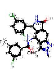 Cn1nc2cc3c(c(NC(=O)c4cc(F)cc(C(F)(F)F)c4)c2c1C=O)C(c1cc(Cl)ccc1F)NC3=O